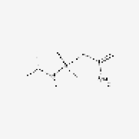 C=C(N)CC(C)(C)N(C)C(C)C